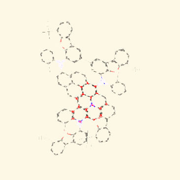 CCC(C)(C)c1cccc2c1oc1c(N(c3ccccc3C)c3ccc4ccc5c(N(c6ccccc6C)c6cc(-c7cc(N(c8ccccc8C)c8ccc9ccc%10c(N(c%11ccccc%11C)c%11cccc%12c%11oc%11c(C(C)(C)C)cccc%11%12)ccc%11ccc8c9c%11%10)c8oc9c(C(C)(C)C)cccc9c8c7)cc7c6oc6c(C(C)(C)CC)cccc67)ccc6ccc3c4c65)cccc12